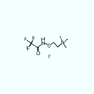 C[N+](C)(C)CCONC(=O)C(F)(F)F.[I-]